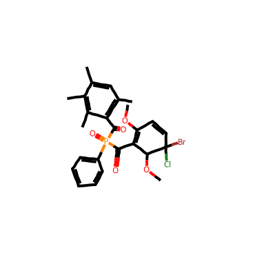 COC1=C(C(=O)P(=O)(C(=O)c2c(C)cc(C)c(C)c2C)c2ccccc2)C(OC)C(Cl)(Br)C=C1